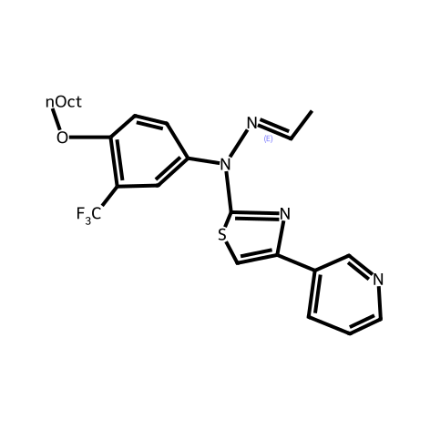 C/C=N/N(c1ccc(OCCCCCCCC)c(C(F)(F)F)c1)c1nc(-c2cccnc2)cs1